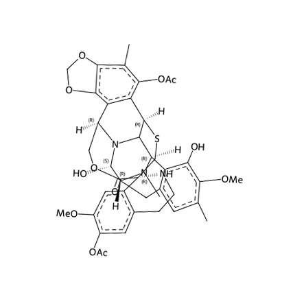 COc1cc2c(cc1OC(C)=O)CCN[C@]21CS[C@@H]2c3c(OC(C)=O)c(C)c4c(c3[C@H](COC1=O)N1C2[C@H]2c3c(cc(C)c(OC)c3O)C[C@H]([C@@H]1O)N2C)OCO4